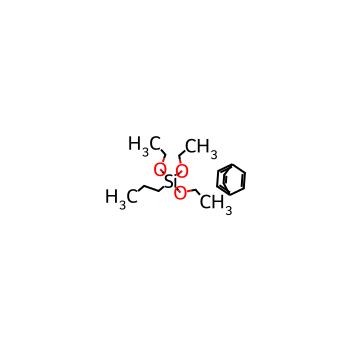 CCC[Si](OCC)(OCC)OCC.c1cc2ccc1cc2